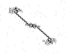 CC(=O)N1C(C)(C)CC(CCCCCCCCCCCCNP2OCC3(CO2)COP(NCCCCCCCCCCCCC2CC(C)(C)N(C(C)=O)C(C)(C)C2)OC3)CC1(C)C